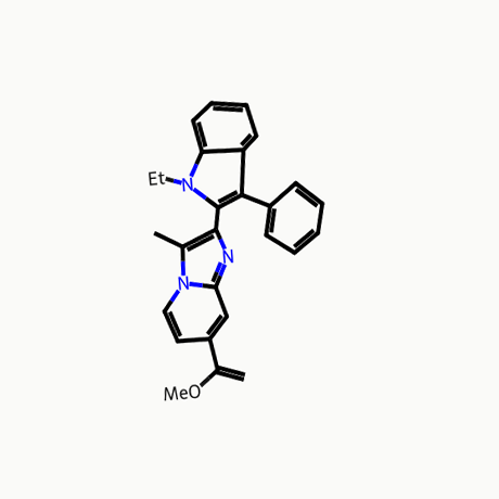 C=C(OC)c1ccn2c(C)c(-c3c(-c4ccccc4)c4ccccc4n3CC)nc2c1